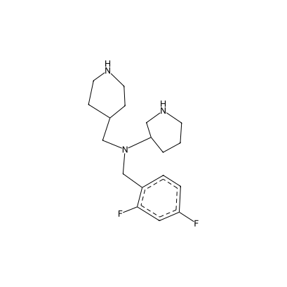 Fc1ccc(CN(CC2CCNCC2)C2CCCNC2)c(F)c1